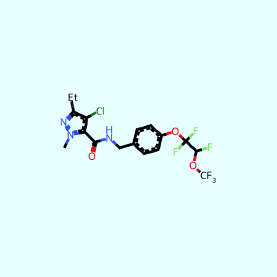 CCc1nn(C)c(C(=O)NCc2ccc(OC(F)(F)C(F)OC(F)(F)F)cc2)c1Cl